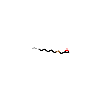 CCCCCCCCCCSCC1CO1